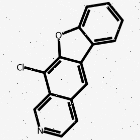 Clc1c2cnccc2cc2c1oc1ccccc12